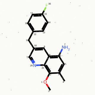 COc1c(C)cc(N)c2cc(Cc3ccc(F)cc3)cnc12